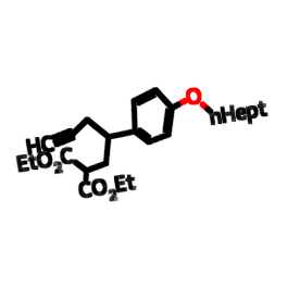 C#CCC(CC(C(=O)OCC)C(=O)OCC)c1ccc(OCCCCCCC)cc1